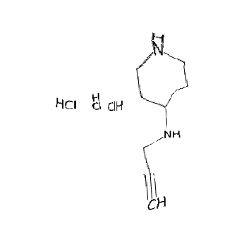 C#CCNC1CCNCC1.Cl.Cl.Cl